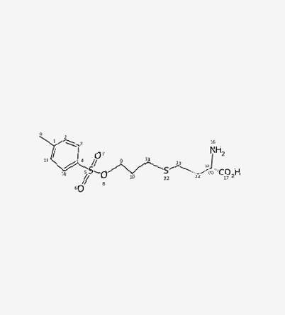 Cc1ccc(S(=O)(=O)OCCCSCC[C@H](N)C(=O)O)cc1